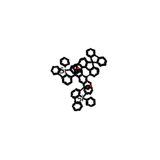 c1ccc([Si]2(c3ccccc3)c3ccccc3-c3cccc(-c4cccc5c(-c6cccc7c6-c6c(ccc8ccccc68)C76c7ccccc7-c7ccccc76)c6cccc(-c7cccc8c7[Si](c7ccccc7)(c7ccccc7)c7ccccc7-8)c6cc45)c32)cc1